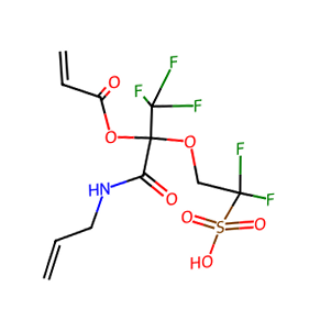 C=CCNC(=O)C(OCC(F)(F)S(=O)(=O)O)(OC(=O)C=C)C(F)(F)F